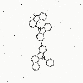 c1ccc(-n2c3ccc(-c4ccc5c(c4)c4ccccc4n5-c4cccc5sc6ccccc6c45)cc3c3ccc4ccccc4c32)cc1